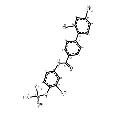 CC(C)(C)[Si](C)(C)Oc1ccc(NC(=O)c2ccc(-c3ccc(C(F)(F)F)cc3Cl)cc2)cc1N=O